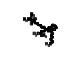 COCCCOc1cc(C(CCCCCCC(=O)NC(C)C)CCC(C)C)cc2c1OCCO2